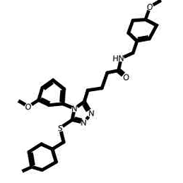 COc1cccc(-n2c(CCCC(=O)NCC3=CCC(OC)CC3)nnc2SCC2CC=C(C)CC2)c1